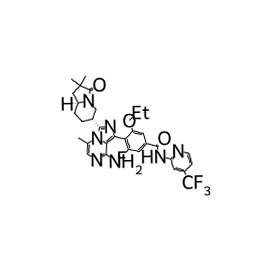 CCOc1cc(C(=O)Nc2cc(C(F)(F)F)ccn2)cc(F)c1-c1nc([C@@H]2CC[C@H]3CC(C)(C)C(=O)N3C2)n2c(C)cnc(N)c12